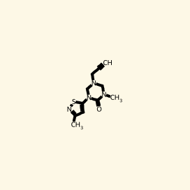 C#CCN1CN(C)C(=O)N(c2cc(C)ns2)C1